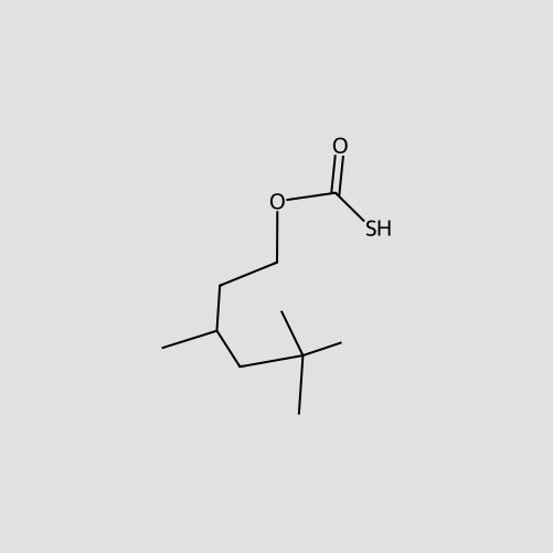 CC(CCOC(=O)S)CC(C)(C)C